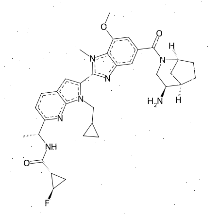 COc1cc(C(=O)N2C[C@H](N)[C@@H]3CC[C@H]2C3)cc2nc(-c3cc4ccc([C@@H](C)NC(=O)[C@@H]5C[C@H]5F)nc4n3CC3CC3)n(C)c12